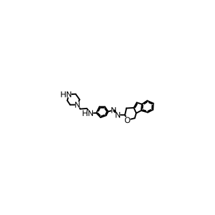 C1=C2CC(N=Nc3ccc(NCCN4CCNCC4)cc3)OCC2c2ccccc21